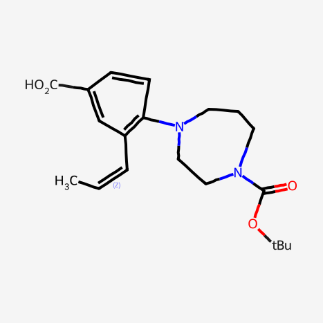 C/C=C\c1cc(C(=O)O)ccc1N1CCCN(C(=O)OC(C)(C)C)CC1